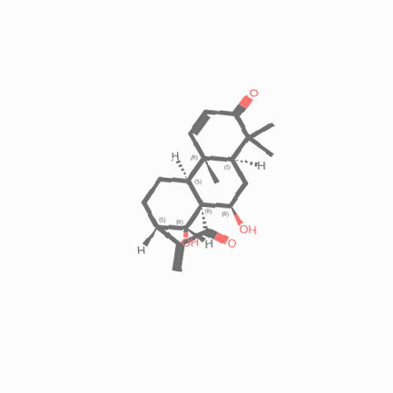 C=C1C(=O)[C@@]23[C@H](O)C[C@@H]4C(C)(C)C(=O)C=C[C@@]4(C)[C@@H]2CC[C@@H]1[C@H]3O